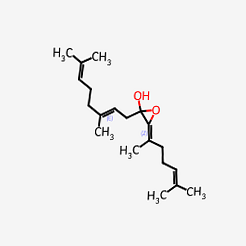 CC(C)=CCC/C(C)=C1\OC1(O)C/C=C(\C)CCC=C(C)C